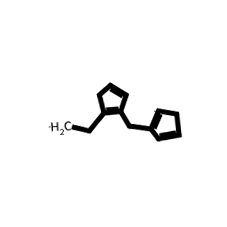 [CH2]CC1=C(CC2=[C]CC=C2)C=CC1